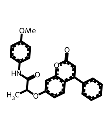 COc1ccc(NC(=O)C(C)Oc2ccc3c(-c4ccccc4)cc(=O)oc3c2)cc1